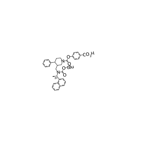 C[C@H](c1cccc2ccccc12)N(CC1CN(C(=O)Oc2ccc(C(=O)O)cc2)CCC1c1ccccc1)C(=O)OC(C)(C)C